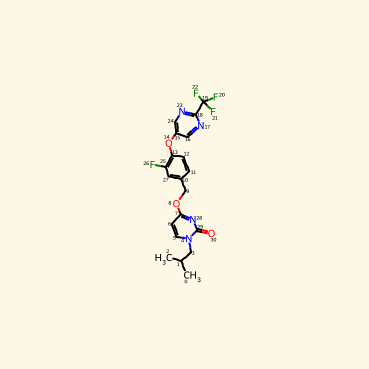 CC(C)Cn1ccc(OCc2ccc(Oc3cnc(C(F)(F)F)nc3)c(F)c2)nc1=O